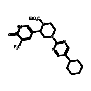 CCOC(=O)N1CCN(c2ncc(C3CCCCC3)cn2)CC1c1c[nH]c(=O)c(C(F)(F)F)c1